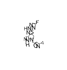 Fc1cnc(Nc2nc3c(s2)CCN(Cc2cc(C4CC4)no2)c2[nH]ncc2-3)nc1